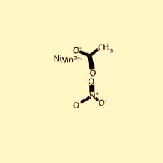 CC(=O)[O-].O=[N+]([O-])[O-].[Mn+2].[Ni]